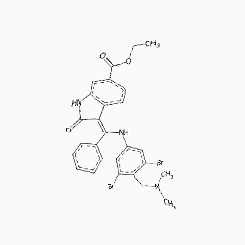 CCOC(=O)c1ccc2c(c1)NC(=O)C2=C(Nc1cc(Br)c(CN(C)C)c(Br)c1)c1ccccc1